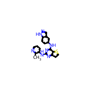 Cc1ncccc1Nc1nc(Nc2ccc3[nH]ncc3c2)c2sccc2n1